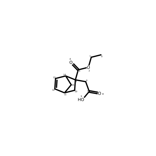 CCOC(=O)C1(CC(=O)O)CC2C=CC1C2